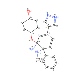 CCOC(=O)NC1(c2ccccc2)C=CC(c2cn[nH]c2)=CC1(N)OC1CCC(O)CC1